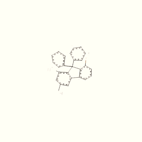 Cc1cc(C)c2c(c1)-c1cccc(Br)c1C2(c1ccccc1)c1ccccc1